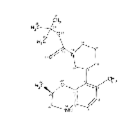 Cc1ccc2c(c1C1CCCN(C(=O)OC(C)(C)C)C1)O[C@H](C)CN2